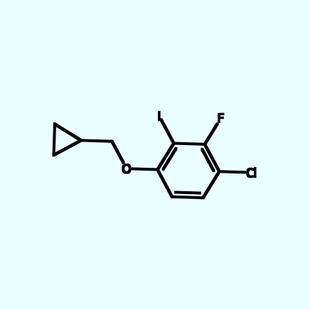 Fc1c(Cl)ccc(OCC2CC2)c1I